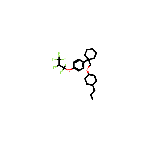 CCCC1CCC(OCC2(c3ccc(OC(F)(F)C(F)C(F)(F)F)cc3)CCCCC2)CC1